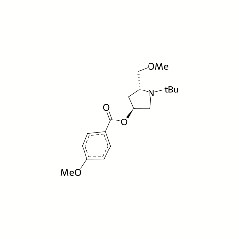 COC[C@H]1C[C@H](OC(=O)c2ccc(OC)cc2)CN1C(C)(C)C